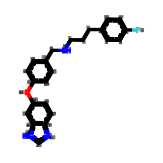 Fc1ccc(CCCNCc2ccc(Oc3ccc4nc[nH]c4c3)cc2)cc1